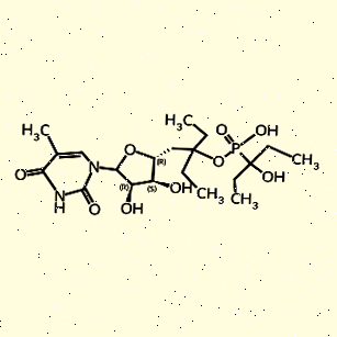 CCC(CC)(C[C@H]1OC(n2cc(C)c(=O)[nH]c2=O)[C@H](O)[C@@H]1O)OP(=O)(O)C(O)(CC)CC